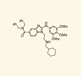 COc1cc(Nc2nc3cc(C(=O)N(CC(C)C)CC(C)C)ccc3n2CCNCC2CCCCC2)cc(OC)c1OC